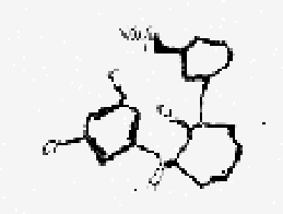 O=C(O)C1CCCC(N2CCCCC(Nc3cc(F)cc(Cl)c3)C2=O)C1